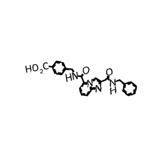 O=C(O)c1ccc(CNC(=O)c2cccc3nc(C(=O)NCc4ccccc4)cn23)cc1